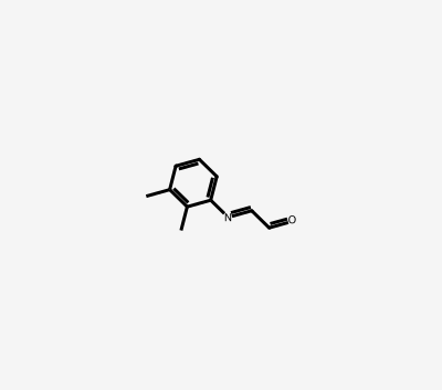 Cc1cccc(N=CC=O)c1C